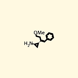 COCC/C(=C\c1ccccc1)[C@@H]1C[C@H]1N